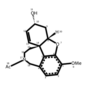 COc1ccc2c3c1O[C@H]1C[C@@H](O)C=C[C@@]31CCN(C(C)=O)C2